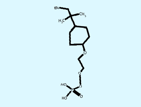 CC(C)(C)CC(C)(C)C1CCC(OCCOOP(=O)(O)O)CC1